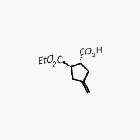 C=C1C[C@@H](C(=O)O)[C@H](C(=O)OCC)C1